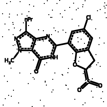 CCCc1nn(C)c2c(=O)[nH]c(-c3cc(Cl)cc4c3OC(=S(=O)=O)C4)nc12